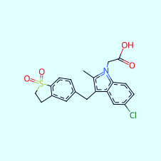 Cc1c(Cc2ccc3c(c2)CCS3(=O)=O)c2cc(Cl)ccc2n1CC(=O)O